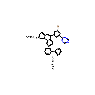 Brc1cc(-c2ncncn2)cc(-c2cc3ccccc3c3ccccc23)c1.[Ar].[Ar].[Ar].[Ar].[Ar].[Ar].[Ar].[Ar].[Ar].[Ar].[Ar].c1ccc(-c2ccccc2)cc1